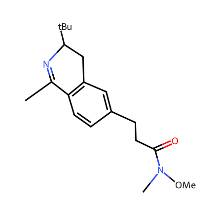 CON(C)C(=O)CCc1ccc2c(c1)CC(C(C)(C)C)N=C2C